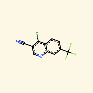 N#Cc1cnc2cc(C(F)(F)F)ccc2c1Cl